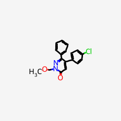 COCn1nc(-c2ccccc2)c(-c2ccc(Cl)cc2)cc1=O